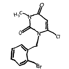 Cn1c(=O)cc(Cl)n(Cc2ccccc2Br)c1=O